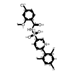 COc1cc(Cl)ccc1C(=O)NS(=O)(=O)c1ccc(-c2c(C)cc(C)cc2C)nc1